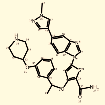 CC(Oc1cc(-n2cnc3cc(-c4cnn(C)c4)ccc32)sc1C(N)=O)c1cccc(OC2CCNCC2)c1